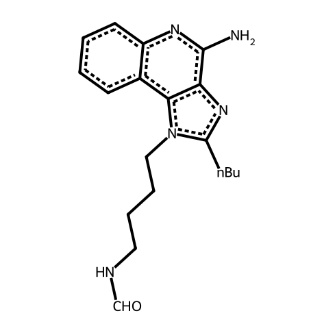 CCCCc1nc2c(N)nc3ccccc3c2n1CCCCNC=O